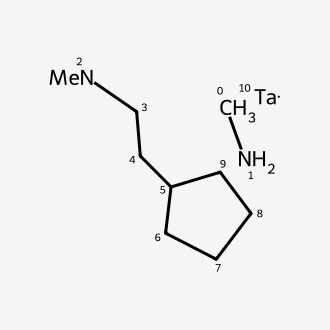 CN.CNCCC1CCCC1.[Ta]